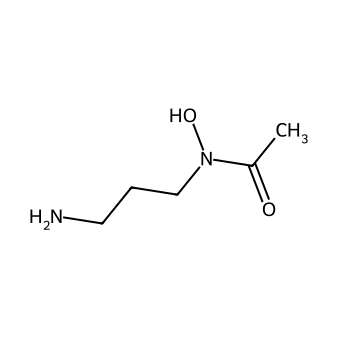 CC(=O)N(O)CCCN